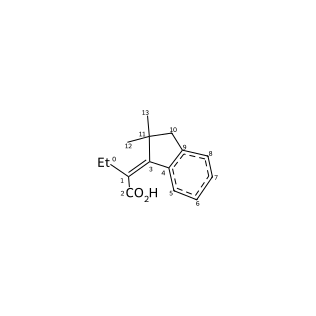 CCC(C(=O)O)=C1c2ccccc2CC1(C)C